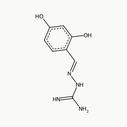 N=C(N)N/N=C/c1ccc(O)cc1O